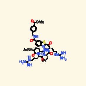 COC(=O)c1ccc(CNC(=O)c2ccc3nc(C(=O)[C@H](CCCNC(=N)N)NC(=O)[C@H](CC(C)C)NC(=O)[C@H](CCCNC(=N)N)NC(=O)[C@H](CCCCN)NC(C)=O)sc3c2)cc1